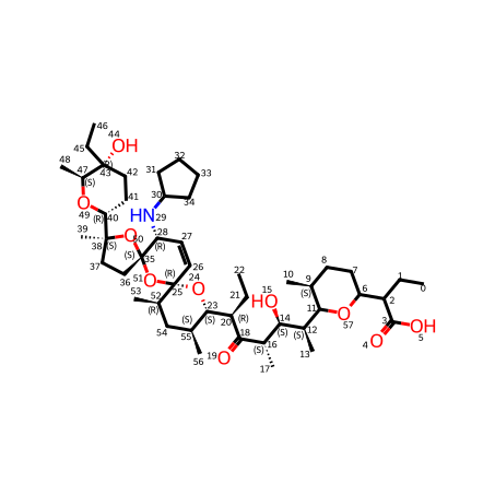 CCC(C(=O)O)C1CC[C@H](C)C([C@@H](C)[C@H](O)[C@H](C)C(=O)[C@H](CC)[C@H]2O[C@]3(C=C[C@@H](NC4CCCC4)[C@]4(CC[C@@](C)([C@H]5CC[C@](O)(CC)[C@H](C)O5)O4)O3)[C@H](C)C[C@@H]2C)O1